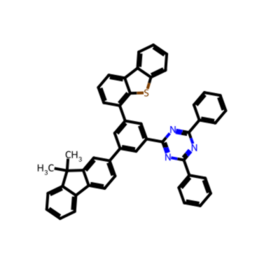 CC1(C)c2ccccc2-c2ccc(-c3cc(-c4nc(-c5ccccc5)nc(-c5ccccc5)n4)cc(-c4cccc5c4sc4ccccc45)c3)cc21